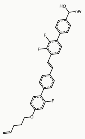 C=CCCCOc1ccc(-c2ccc(/C=C/c3ccc(-c4ccc(C(O)CCC)cc4)c(F)c3F)cc2)c(F)c1